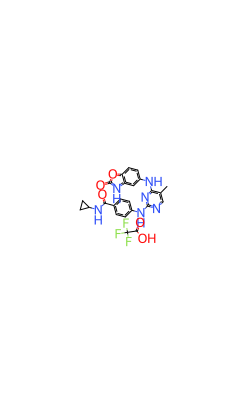 Cc1cnc(Nc2ccc(C(=O)NC3CC3)cc2)nc1Nc1ccc2oc(=O)[nH]c2c1.O=C(O)C(F)(F)F